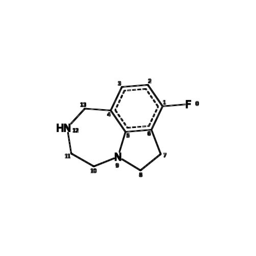 Fc1ccc2c3c1CCN3CCNC2